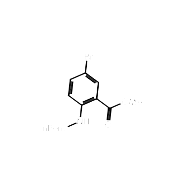 CCCCCNc1ccc(Br)cc1C(=O)OC